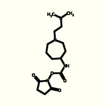 CN(C)CCN1CCCC(NC(=O)ON2C(=O)CCC2=O)CC1